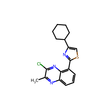 Cc1nc2cccc(-c3nc(C4CCCCC4)cs3)c2nc1Cl